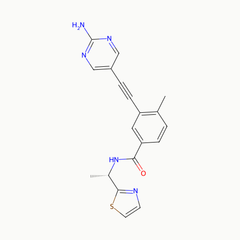 Cc1ccc(C(=O)N[C@@H](C)c2nccs2)cc1C#Cc1cnc(N)nc1